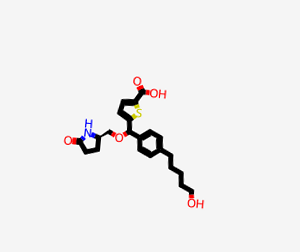 O=C1CC[C@H](COC(c2ccc(CCCCCO)cc2)c2ccc(C(=O)O)s2)N1